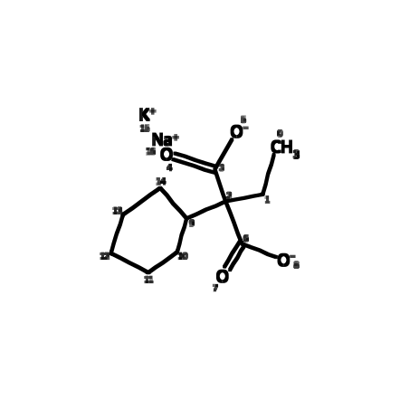 CCC(C(=O)[O-])(C(=O)[O-])C1CCCCC1.[K+].[Na+]